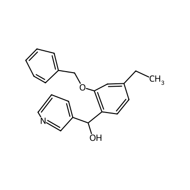 CCc1ccc(C(O)c2cccnc2)c(OCc2ccccc2)c1